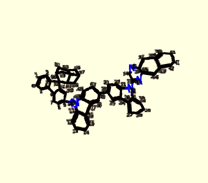 c1ccc2c(c1)-c1ccc(-n3c4ccccc4c4cc(-c5ccc6c(c5)c5ccccc5n6-c5cnc6cc7ccccc7cc6n5)ccc43)cc1C21C2CC3CC(C2)CC1C3